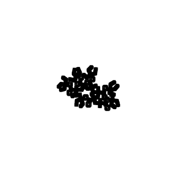 CCC(CC)(CC)OC(=O)C(C)(C)CC(C)(CC(C)(CC(C)(CC(C)(CC(C)(CC)C(=O)OC(CC)(CC)CC)C(=O)OC(CC)(CC)CC)C(=O)OC(CC)(CC)CC)C(=O)OC(CC)(CC)CC)C(=O)OC(CC)(CC)CC